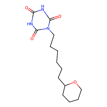 O=c1[nH]c(=O)n(CCCCCCC2CCCCO2)c(=O)[nH]1